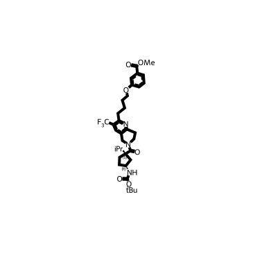 COC(=O)c1cccc(OCCCCc2nc3c(cc2C(F)(F)F)CN(C(=O)[C@@]2(C(C)C)CC[C@@H](NC(=O)OC(C)(C)C)C2)CC3)c1